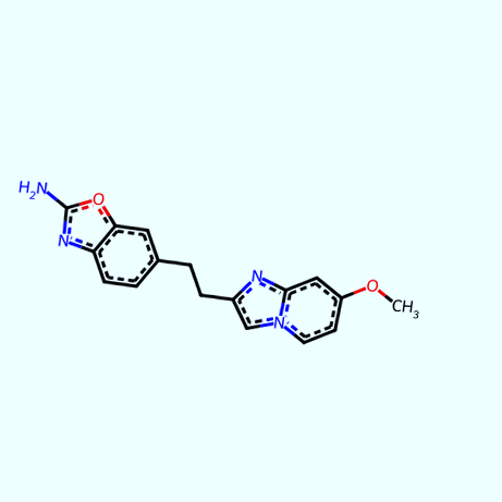 COc1ccn2cc(CCc3ccc4nc(N)oc4c3)nc2c1